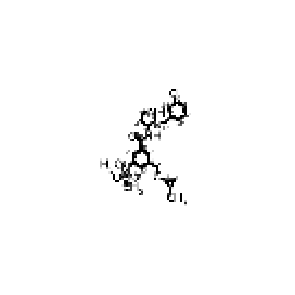 CC1CC1OCc1cc(C(=O)NC2CCN[C@H]2Cc2cccc(Cl)c2)cc(N(C)S(C)(=O)=O)c1